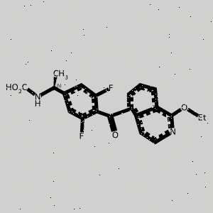 CCOc1nccc2c(C(=O)c3c(F)cc([C@H](C)NC(=O)O)cc3F)cccc12